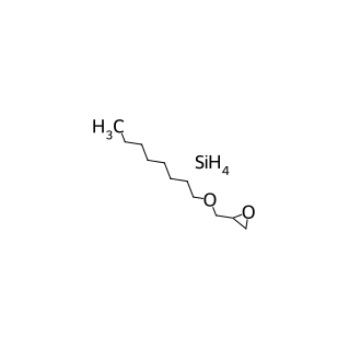 CCCCCCCCOCC1CO1.[SiH4]